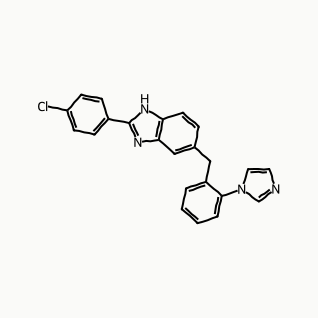 Clc1ccc(-c2nc3cc(Cc4ccccc4-n4ccnc4)ccc3[nH]2)cc1